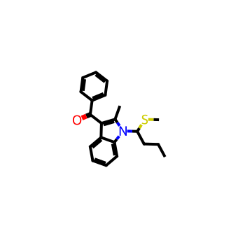 CCCC(SC)n1c(C)c(C(=O)c2ccccc2)c2ccccc21